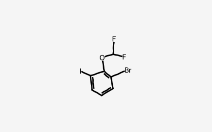 FC(F)Oc1c(Br)cccc1I